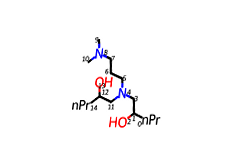 CCCC(O)CN(CCCN(C)C)CC(O)CCC